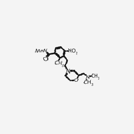 CNC(=O)c1ccc([N+](=O)[O-])c(CCN2CCOC(CN(C)C)C2)c1C